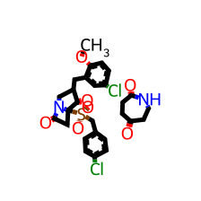 COc1ccc(Cl)cc1CC1CN2C(=O)CC2(S(=O)(=O)Cc2ccc(Cl)cc2)C1=O.O=C1CCNC(=O)CC1